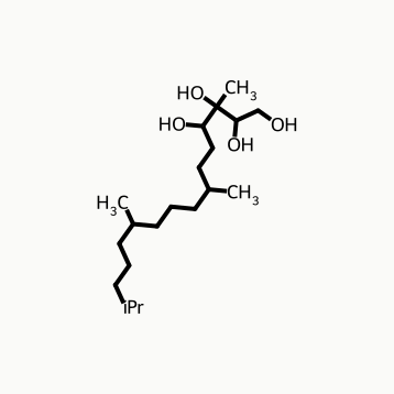 CC(C)CCCC(C)CCCC(C)CCC(O)C(C)(O)C(O)CO